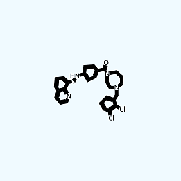 O=C(c1ccc(NSc2cccc3cccnc23)cc1)N1CCCN(Cc2cccc(Cl)c2Cl)CC1